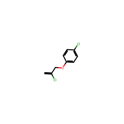 C=C(Cl)COc1ccc(Cl)cc1